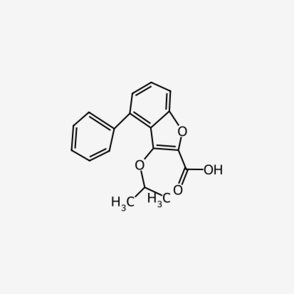 CC(C)Oc1c(C(=O)O)oc2cccc(-c3ccccc3)c12